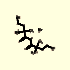 CC(C)(CCO)C(=O)OC(=O)C(C)(C)CCO.[Na]